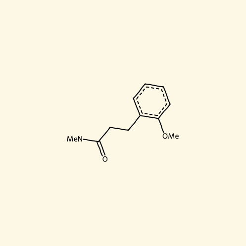 CNC(=O)CCc1ccccc1OC